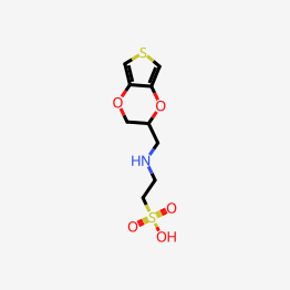 O=S(=O)(O)CCNCC1COc2cscc2O1